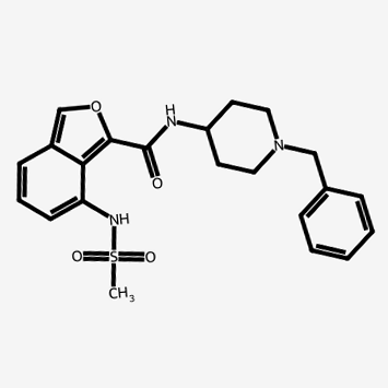 CS(=O)(=O)Nc1cccc2coc(C(=O)NC3CCN(Cc4ccccc4)CC3)c12